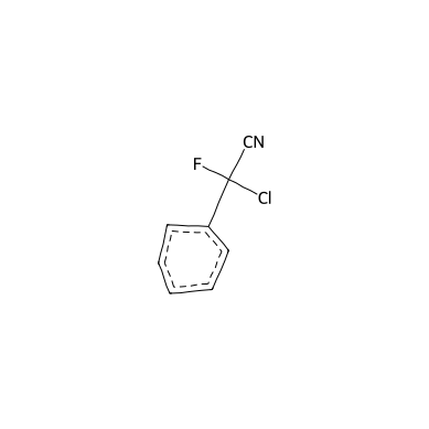 N#CC(F)(Cl)c1ccccc1